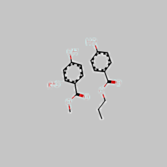 CCCOC(=O)c1ccc(O)cc1.COC(=O)c1ccc(O)cc1.[K+].[OH-]